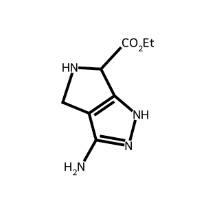 CCOC(=O)C1NCc2c(N)n[nH]c21